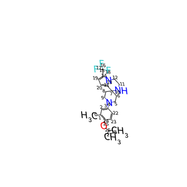 Cc1cc(N2CCC3(CC2)NCCn2c(C(F)(F)F)ccc23)ccc1OC(C)C